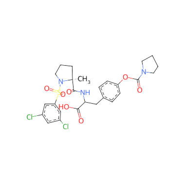 C[C@@]1(C(=O)NC(Cc2ccc(OC(=O)N3CCCC3)cc2)C(=O)O)CCCN1S(=O)(=O)c1cc(Cl)cc(Cl)c1